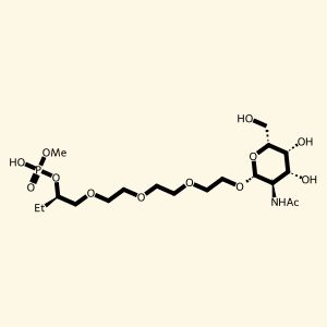 CC[C@H](COCCOCCOCCO[C@@H]1O[C@H](CO)[C@H](O)[C@H](O)[C@H]1NC(C)=O)OP(=O)(O)OC